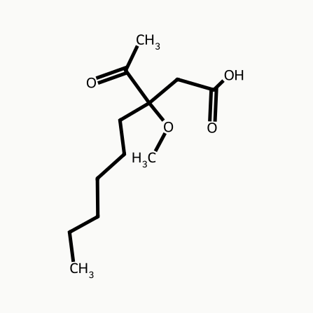 CCCCCCC(CC(=O)O)(OC)C(C)=O